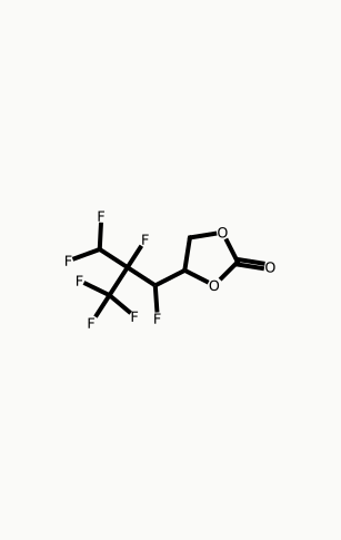 O=C1OCC(C(F)C(F)(C(F)F)C(F)(F)F)O1